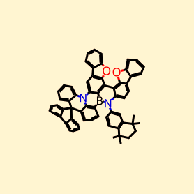 CC1(C)CCC(C)(C)c2cc(N3B4c5cccc6c5N(c5ccccc5C65c6ccccc6-c6ccccc65)c5cc6c(oc7ccccc76)c(c54)-c4c3ccc3c4oc4ccccc43)ccc21